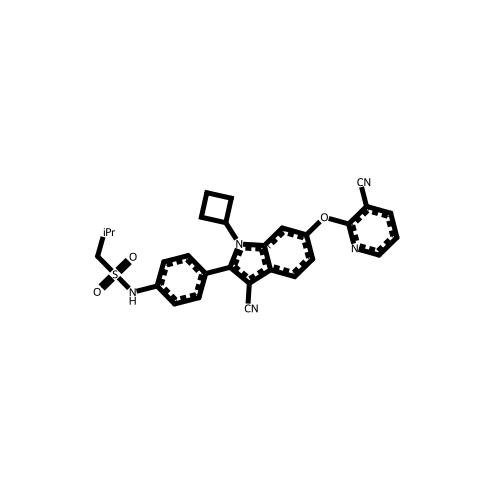 CC(C)CS(=O)(=O)Nc1ccc(-c2c(C#N)c3ccc(Oc4ncccc4C#N)cc3n2C2CCC2)cc1